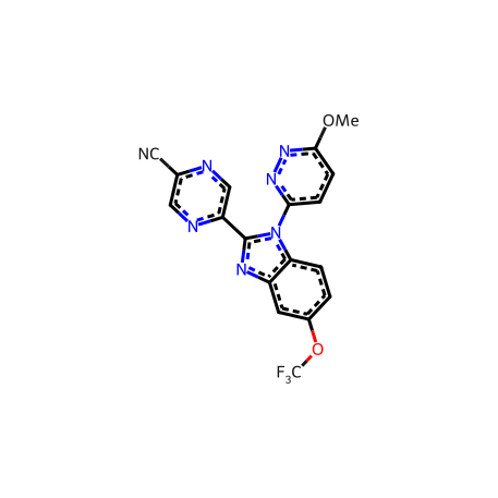 COc1ccc(-n2c(-c3cnc(C#N)cn3)nc3cc(OC(F)(F)F)ccc32)nn1